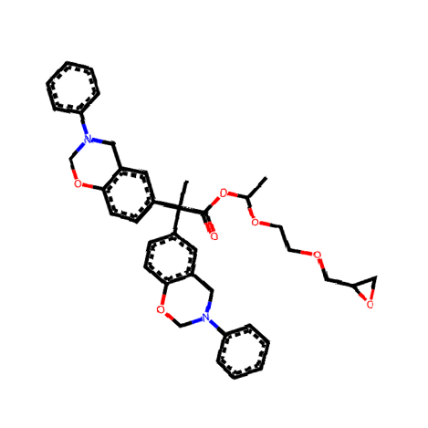 CC(OCCOCC1CO1)OC(=O)C(C)(c1ccc2c(c1)CN(c1ccccc1)CO2)c1ccc2c(c1)CN(c1ccccc1)CO2